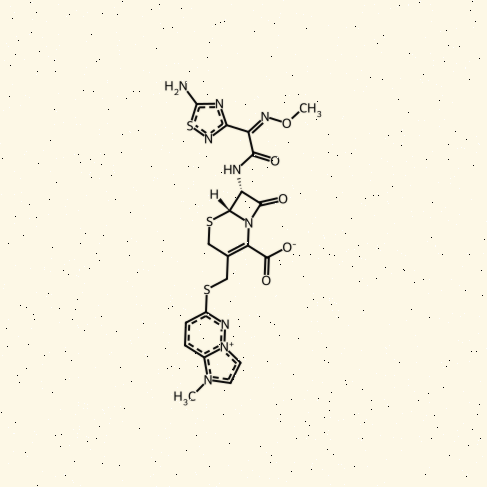 CO/N=C(\C(=O)N[C@@H]1C(=O)N2C(C(=O)[O-])=C(CSc3ccc4n(C)cc[n+]4n3)CS[C@H]12)c1nsc(N)n1